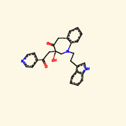 O=C(CC1(O)CN(CCc2c[nH]c3ccccc23)c2ccccc2CC1=O)c1ccncc1